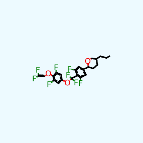 CCCC1CCC(c2cc(F)c(C(F)(F)Oc3cc(F)c(OC=C(F)F)c(F)c3)c(F)c2)OC1